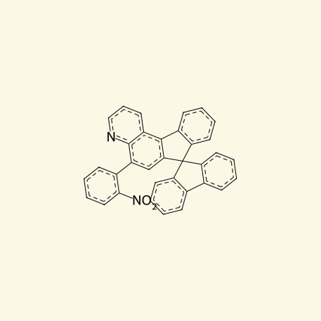 O=[N+]([O-])c1ccccc1-c1cc2c(c3cccnc13)-c1ccccc1C21c2ccccc2-c2ccccc21